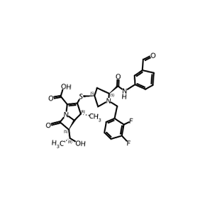 C[C@H]1C(S[C@H]2C[C@@H](C(=O)Nc3cccc(C=O)c3)N(Cc3cccc(F)c3F)C2)=C(C(=O)O)N2C(=O)[C@H]([C@@H](C)O)C12